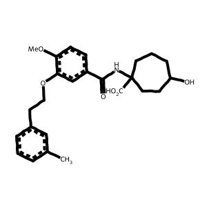 COc1ccc(C(=O)NC2(C(=O)O)CCCC(O)CC2)cc1OCCc1cccc(C)c1